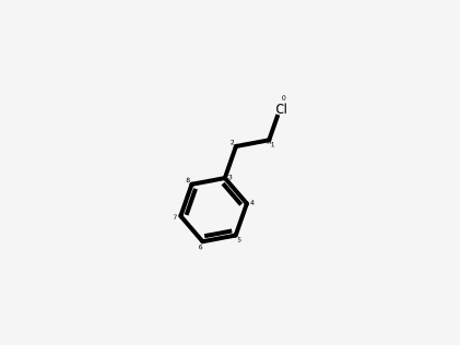 Cl[C]Cc1ccccc1